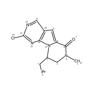 CC(C)CC1CN(C)C(=O)c2cc3cnc(Cl)nc3n21